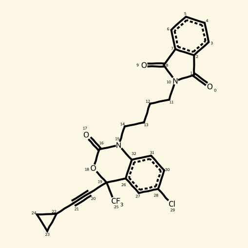 O=C1c2ccccc2C(=O)N1CCCCN1C(=O)OC(C#CC2CC2)(C(F)(F)F)c2cc(Cl)ccc21